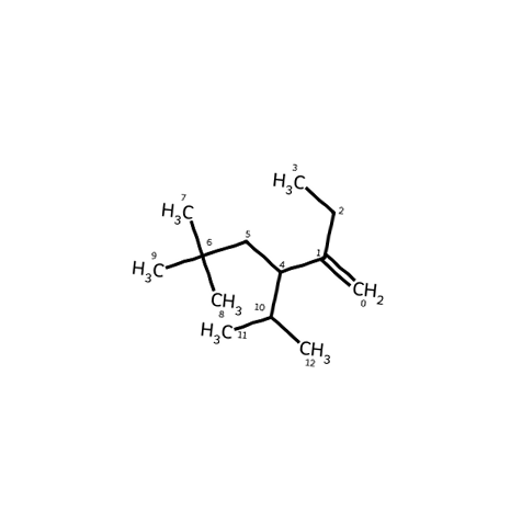 C=C(CC)C(CC(C)(C)C)C(C)C